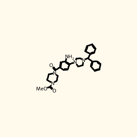 COC(=O)N1CCN(C(=O)c2ccc(N3CCN(C(c4ccccc4)c4ccccc4)CC3)c(N)c2)CC1